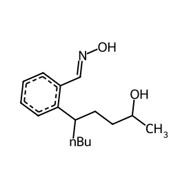 CCCCC(CCC(C)O)c1ccccc1C=NO